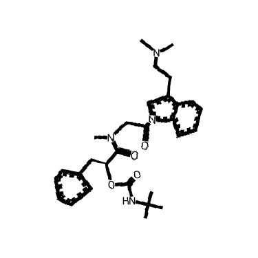 CN(C)CCc1cn(C(=O)CN(C)C(=O)[C@H](Cc2ccccc2)OC(=O)NC(C)(C)C)c2ccccc12